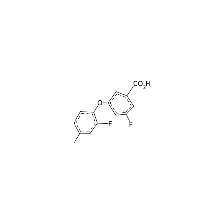 Cc1ccc(Oc2cc(F)cc(C(=O)O)c2)c(F)c1